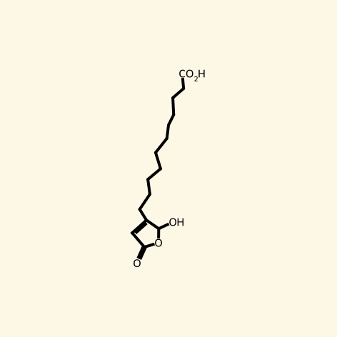 O=C(O)CCCCCCCCCCC1=CC(=O)OC1O